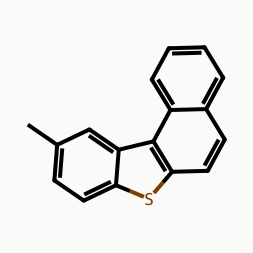 Cc1ccc2sc3ccc4ccccc4c3c2c1